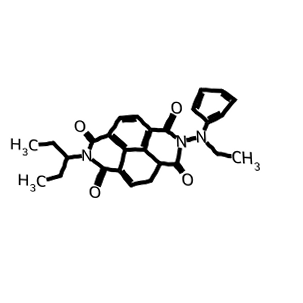 CCC(CC)N1C(=O)C2=CCC3C(=O)N(N(CC)c4ccccc4)C(=O)c4ccc(c2c43)C1=O